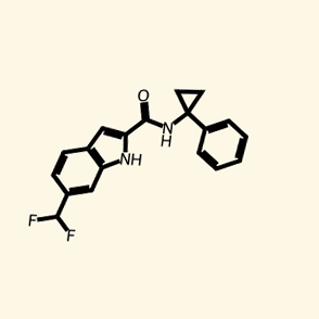 O=C(NC1(c2ccccc2)CC1)c1cc2ccc(C(F)F)cc2[nH]1